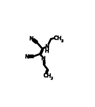 C=C/C=N/C(C#N)=C(/C#N)NCC